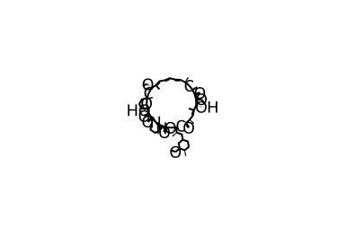 COC1CC(C[C@@H](C)[C@@H]2CC(=O)[C@H](C)/C=C(\C)[C@@H](O)C(OC)C(=O)C(C)C[C@H](C)/C=C/C=C/C=C(\C)[C@@H](OC)CC3CC[C@@H](C)[C@@](O)(O3)C(=O)C(=O)N3CCCC[C@H]3C(=O)O2)CC[C@H]1C